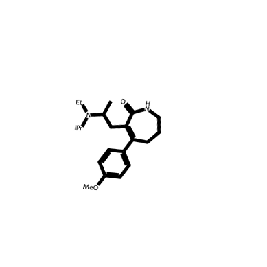 CCN(C(C)C)C(C)CC1=C(c2ccc(OC)cc2)CCCNC1=O